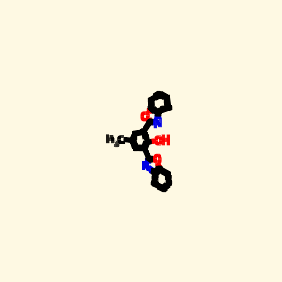 Cc1cc(-c2nc3ccccc3o2)c(O)c(-c2nc3ccccc3o2)c1